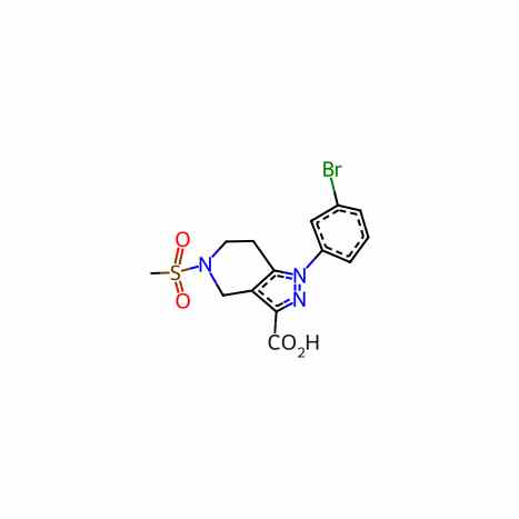 CS(=O)(=O)N1CCc2c(c(C(=O)O)nn2-c2cccc(Br)c2)C1